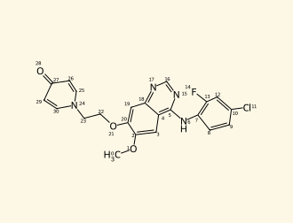 COc1cc2c(Nc3ccc(Cl)cc3F)ncnc2cc1OCCn1ccc(=O)cc1